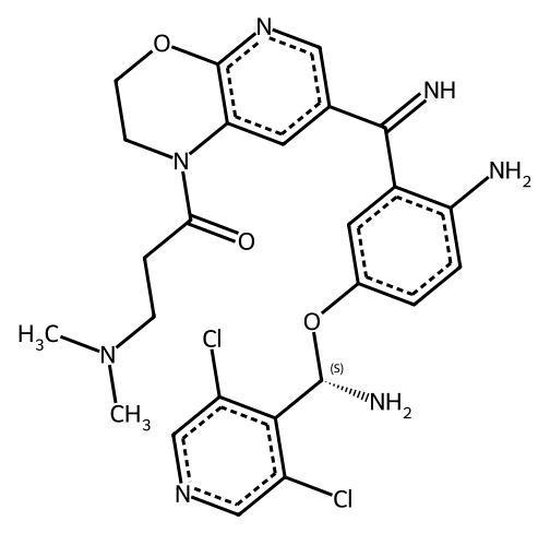 CN(C)CCC(=O)N1CCOc2ncc(C(=N)c3cc(O[C@H](N)c4c(Cl)cncc4Cl)ccc3N)cc21